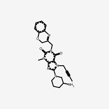 CC#CCn1c(N2CCCC(N)C2)nc2c1c(=O)n(CC1=Nc3ccccc3OC1)c(=O)n2C